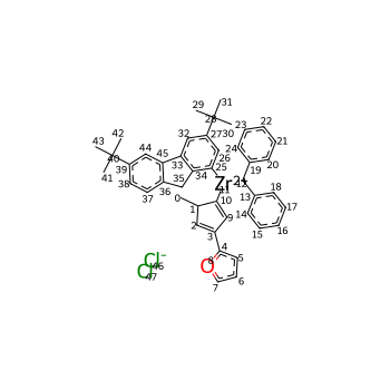 CC1C=C(c2ccco2)C=[C]1[Zr+2](=[C](c1ccccc1)c1ccccc1)[c]1cc(C(C)(C)C)cc2c1Cc1ccc(C(C)(C)C)cc1-2.[Cl-].[Cl-]